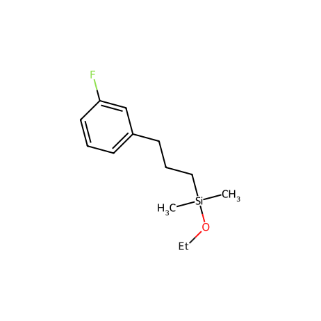 CCO[Si](C)(C)CCCc1cccc(F)c1